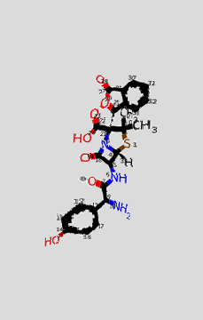 CC1(C)S[C@@H]2C(NC(=O)C(N)c3ccc(O)cc3)C(=O)N2[C@]1(C(=O)O)C1OC(=O)c2ccccc21